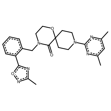 Cc1cc(C)nc(N2CCC3(CC2)OCCN(Cc2ccccc2-c2nc(C)no2)C3=O)n1